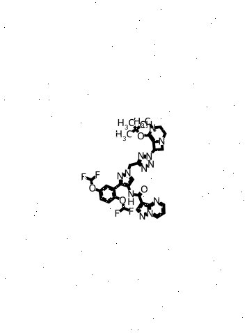 CN1CCN2CC(n3nnc(Cn4cc(NC(=O)c5cnn6cccnc56)c(-c5cc(OC(F)F)ccc5OC(F)F)n4)n3)C2=C1OC(C)(C)C